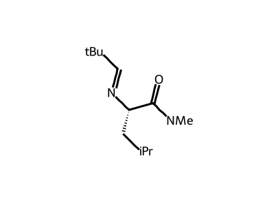 CNC(=O)[C@H](CC(C)C)/N=C/C(C)(C)C